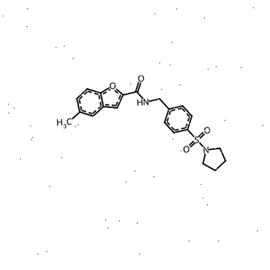 Cc1ccc2oc(C(=O)NCc3ccc(S(=O)(=O)N4CCCC4)cc3)cc2c1